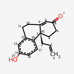 C=CC[C@]12CCC(=O)C=C1CCc1cc(O)ccc12